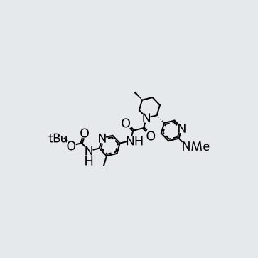 CNc1ccc([C@H]2CC[C@H](C)CN2C(=O)C(=O)Nc2cnc(NC(=O)OC(C)(C)C)c(C)c2)cn1